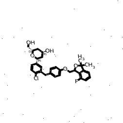 CC1(C)OC(COc2ccc(Cc3cc([C@H]4C[C@@H](O)C[C@@H](CO)O4)ccc3Cl)cc2)c2c(F)cccc21